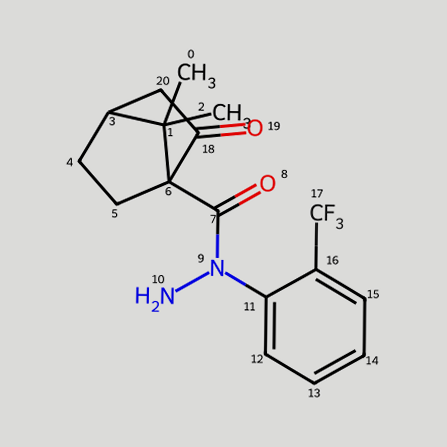 CC1(C)C2CCC1(C(=O)N(N)c1ccccc1C(F)(F)F)C(=O)C2